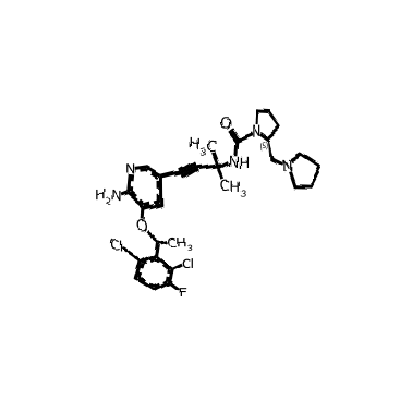 CC(Oc1cc(C#CC(C)(C)NC(=O)N2CCC[C@H]2CN2CCCC2)cnc1N)c1c(Cl)ccc(F)c1Cl